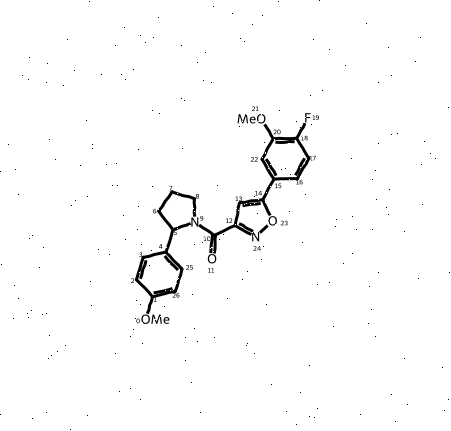 COc1ccc(C2CCCN2C(=O)c2cc(-c3ccc(F)c(OC)c3)on2)cc1